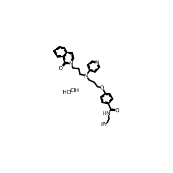 CC(C)CNC(=O)c1ccc(OCCCN(CCCn2ccc3ccccc3c2=O)c2ccncc2)cc1.Cl.Cl